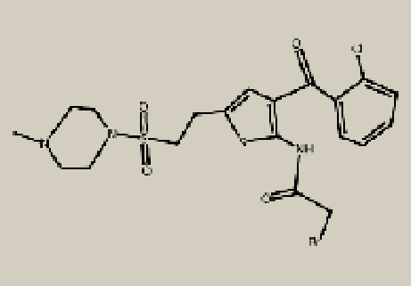 CN1CCN(S(=O)(=O)CCc2cc(C(=O)c3ccccc3Cl)c(NC(=O)CBr)s2)CC1